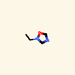 CC[n+]1cnco1